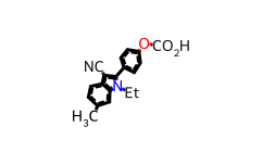 CCn1c(-c2ccc(OC(=O)O)cc2)c(C#N)c2ccc(C)cc21